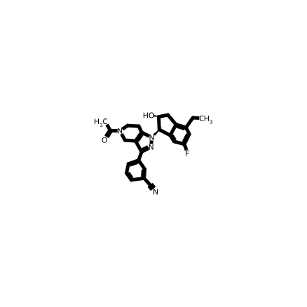 CCc1cc(F)cc2c1C[C@@H](O)[C@@H]2n1nc(-c2cccc(C#N)c2)c2c1CCN(C(C)=O)C2